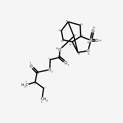 CCC(C)C(=O)OCC(=O)OC1C2CCC3C1OS(=O)(=O)C3C2